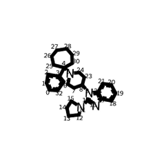 c1ccc(C2(N3CCC(n4c(N5CCCC5)nc5ccccc54)CC3)CCCCCC2)cc1